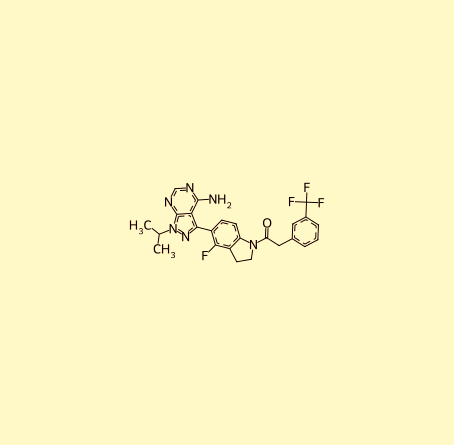 CC(C)n1nc(-c2ccc3c(c2F)CCN3C(=O)Cc2cccc(C(F)(F)F)c2)c2c(N)ncnc21